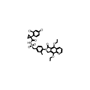 CCOc1c2c(c(OCC)c3ncccc13)CN(c1ccc(CS(=O)(=O)NC(=O)C3(c4ccc(Cl)cc4Cl)CC3)cc1C)C2=O